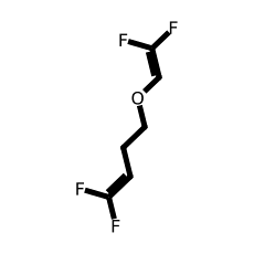 FC(F)=CCCOC=C(F)F